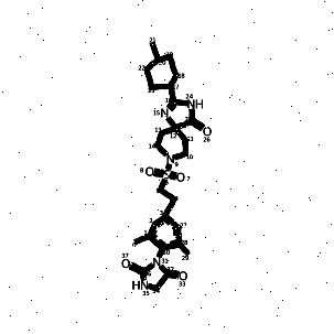 Cc1cc(CCS(=O)(=O)N2CCC3(CC2)N=C(C2CCC(C)CC2)NC3=O)cc(C)c1N1C(=O)CNC1=O